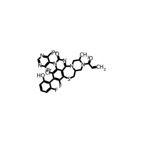 C=CC(=O)N1CC2CSc3c(F)c(-c4c(O)cccc4F)c(Cl)c4c3c(nc(=O)n4-c3c(C(C)C)ncnc3C(C)C)N2CC1C